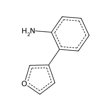 Nc1ccccc1-c1ccoc1